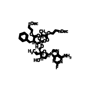 C=C[C@]1(COP(=O)(N[C@@H](Cc2ccccc2)C(=O)OCCCCCCCCCCCC)O[C@@H](C)C(=O)OCCCCCCCCCCCC)O[C@@H](n2cnc3c(N)nc(F)nc32)C[C@@H]1O